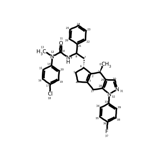 C[C@@H]1C2=C(CC[C@@H]2CC(NC(=O)N(C)c2ccc(Cl)cc2)c2ccccc2)Cc2c1cnn2-c1ccc(F)cc1